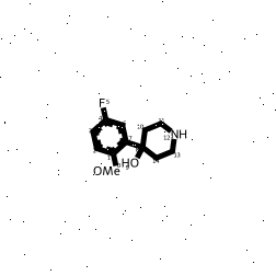 COc1ccc(F)cc1C1(O)CCNCC1